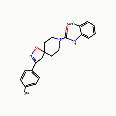 COc1ccccc1NC(=O)N1CCC2(CC1)CC(c1ccc(C(C)(C)C)cc1)=NO2